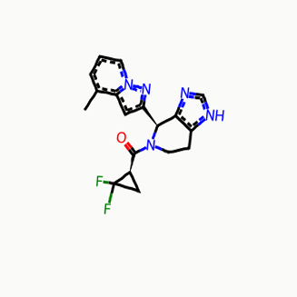 Cc1cccn2nc([C@H]3c4nc[nH]c4CCN3C(=O)[C@H]3CC3(F)F)cc12